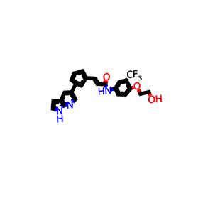 O=C(C=Cc1cccc(-c2cnc3[nH]ccc3c2)c1)Nc1ccc(OCCO)c(C(F)(F)F)c1